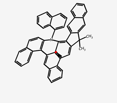 CC1(C)c2cc3ccccc3cc2-c2c(N(c3ccc4ccccc4c3-c3ccc4ccccc4c3)c3cccc4ccccc34)cccc21